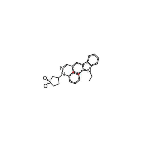 CCn1c2ccccc2c2cc(/C=N\N(c3ccccc3)C3CCS(=O)(=O)C3)ccc21